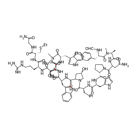 CCCC[C@@H](C(=O)N(C)[C@@H](CCCC)C(=O)N[C@@H](CCCNC(=N)N)C(=O)N[C@@H](CSCC)C(=O)NCC(N)=O)N(C)C(=O)[C@H](Cc1c[nH]c2ccccc12)NC(=O)[C@H](CO)NC(=O)[C@H](Cc1c[nH]c2ccccc12)NC(=O)C1C[C@@H](O)CN1C(=O)[C@H](CC(C)C)NC(=O)[C@H](Cc1cnc[nH]1)NC(=O)[C@@H]1CCCN1C(=O)C(CC(N)=O)NC(=O)[C@H](C)N(C)C(=O)[C@H](Cc1ccc(Cl)cc1)NC=O